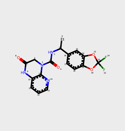 CCC(NC(=O)N1CC(=O)Nc2cccnc21)c1ccc2c(c1)OC(F)(F)O2